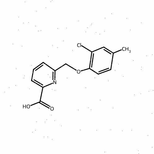 Cc1ccc(OCc2cccc(C(=O)O)n2)c(Cl)c1